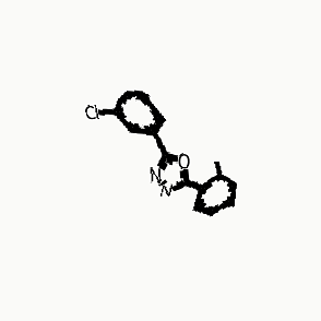 Cc1ccccc1-c1nnc(-c2cccc(Cl)c2)o1